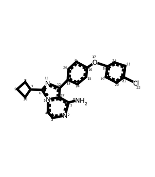 Nc1nccn2c(C3CCC3)nc(-c3ccc(Oc4ccc(Cl)cc4)cc3)c12